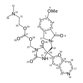 COc1ccc2c(c1)C(=O)N(C[C@@]1(c3cc4cnccc4o3)NC(=O)N(COC(=O)OCCN(C)C)C1=O)C2